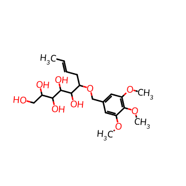 CC=CCC(OCc1cc(OC)c(OC)c(OC)c1)C(O)C(O)C(O)C(O)CO